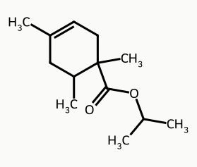 CC1=CCC(C)(C(=O)OC(C)C)C(C)C1